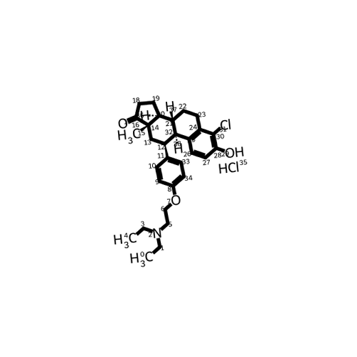 CCN(CC)CCOc1ccc([C@H]2C[C@]3(C)C(=O)CC[C@H]3[C@@H]3CCc4c(ccc(O)c4Cl)[C@H]32)cc1.Cl